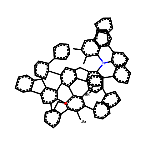 Cc1cc2c(c(-c3c(-c4ccccc4-c4ccccc4)cc4c(c3-c3c5c(c(C(C)(C)C)c(-c6ccccc6)c3-c3ccccc3)-c3ccccc3C5)-c3c(c(N(c5ccccc5-c5ccccc5)c5c(C)c(C)cc6c5Cc5ccccc5-6)c(-c5ccccc5)c(-c5ccccc5)c3C(C)(C)C)C4)c1C)Cc1ccccc1-2